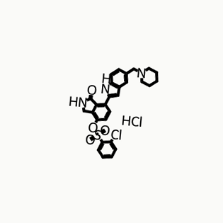 Cl.O=C1NCc2c(OS(=O)(=O)c3ccccc3Cl)ccc(-c3cc4cc(CN5CCCCC5)ccc4[nH]3)c21